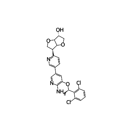 C[C@@H](Oc1cc(-c2ccc([C@H]3COC4C3OC[C@H]4O)nc2)cnc1N)c1c(Cl)cccc1Cl